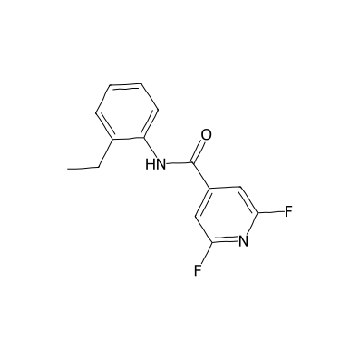 CCc1ccccc1NC(=O)c1cc(F)nc(F)c1